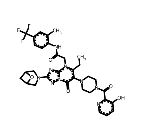 CCc1c(N2CCN(C(=O)c3ncccc3O)CC2)c(=O)n2nc(N3CC4CC(C3)O4)nc2n1CC(=O)Nc1ccc(C(F)(F)F)cc1C